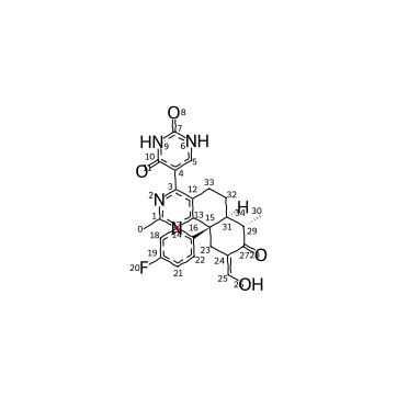 Cc1nc(-c2c[nH]c(=O)[nH]c2=O)c2c(n1)[C@@]1(c3ccc(F)cc3)C/C(=C/O)C(=O)[C@@H](C)[C@@H]1CC2